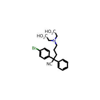 N#CC(CCCN(CC(=O)O)CC(=O)O)(c1ccccc1)c1ccc(Br)cc1